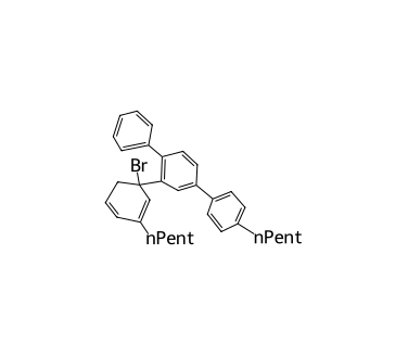 CCCCCC1=CC(Br)(c2cc(-c3ccc(CCCCC)cc3)ccc2-c2ccccc2)CC=C1